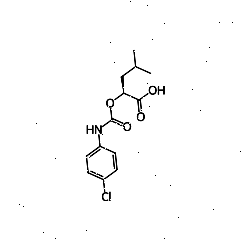 CC(C)C[C@H](OC(=O)Nc1ccc(Cl)cc1)C(=O)O